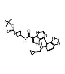 CC(C)(C)OC(=O)N1CC(NC(=O)c2c[nH]c3c(-c4c(OCC5CC5)ccc5c4OCO5)ncnc23)C1